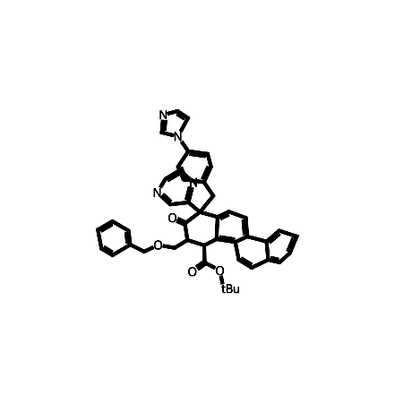 CC(C)(C)OC(=O)C1c2c(ccc3c2ccc2ccccc23)C(Cc2ccc(-n3ccnc3)cc2)(c2cnccn2)C(=O)C1COCc1ccccc1